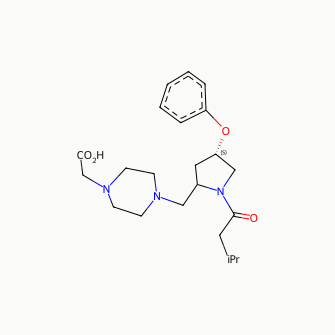 CC(C)CC(=O)N1C[C@@H](Oc2ccccc2)CC1CN1CCN(CC(=O)O)CC1